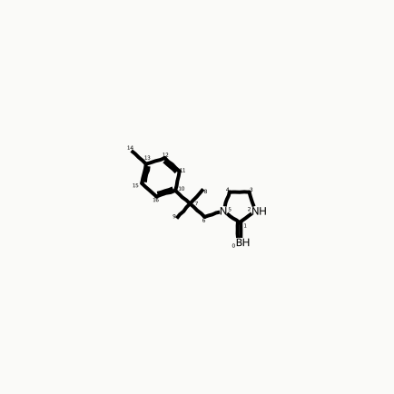 B=C1NCCN1CC(C)(C)c1ccc(C)cc1